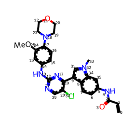 C=CC(=O)Nc1ccc2c(-c3nc(Nc4ccc(N5CCOCC5)c(OC)c4)ncc3Cl)cn(C)c2c1